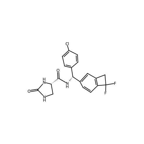 O=C1NC[C@@H](C(=O)N[C@H](c2ccc(Cl)cc2)c2ccc3c(c2)CC3(F)F)N1